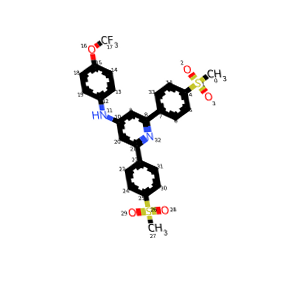 CS(=O)(=O)c1ccc(-c2cc(Nc3ccc(OC(F)(F)F)cc3)cc(-c3ccc(S(C)(=O)=O)cc3)n2)cc1